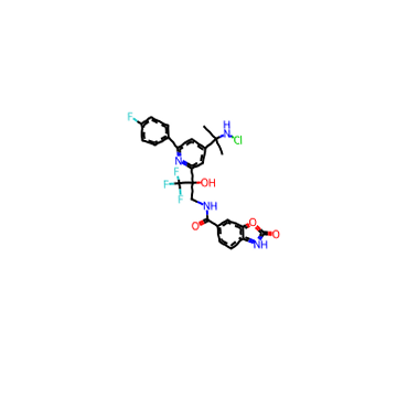 CC(C)(NCl)c1cc(-c2ccc(F)cc2)nc(C(O)(CNC(=O)c2ccc3[nH]c(=O)oc3c2)C(F)(F)F)c1